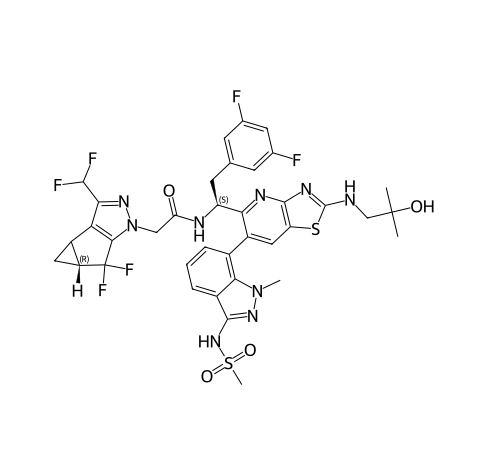 Cn1nc(NS(C)(=O)=O)c2cccc(-c3cc4sc(NCC(C)(C)O)nc4nc3[C@H](Cc3cc(F)cc(F)c3)NC(=O)Cn3nc(C(F)F)c4c3C(F)(F)[C@@H]3CC43)c21